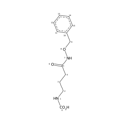 O=C(O)NCCCC(=O)NOCc1ccccc1